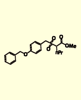 CCCC(C(=O)OC)S(=O)(=O)Cc1ccc(OCc2ccccc2)cc1